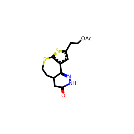 CC(=O)OCCc1cc2c(s1)SCCC1CC(=O)NN=C21